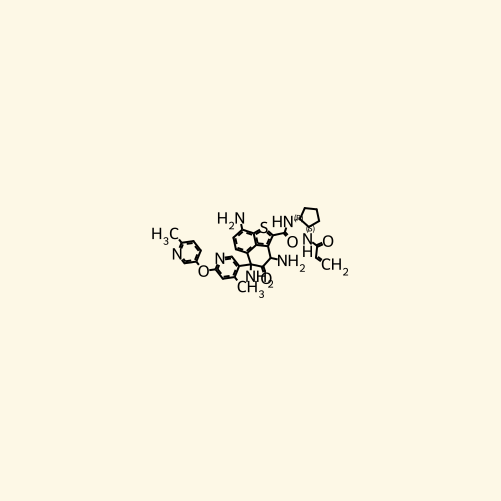 C=CC(=O)N[C@H]1CCC[C@H]1NC(=O)c1sc2c(N)ccc3c2c1C(N)C(=O)C3(N)c1cnc(Oc2ccc(C)nc2)cc1C